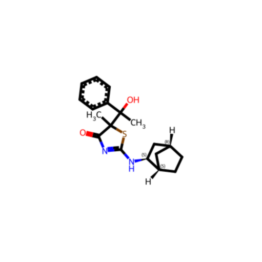 CC1(C(C)(O)c2ccccc2)SC(N[C@H]2C[C@@H]3CC[C@H]2C3)=NC1=O